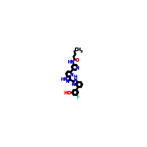 CCCCC(=O)Nc1cncc(-c2ccc3[nH]nc(-c4nc5c(-c6cc(O)cc(F)c6)cccc5[nH]4)c3n2)c1